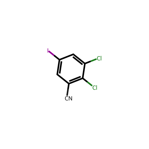 N#Cc1cc(I)cc(Cl)c1Cl